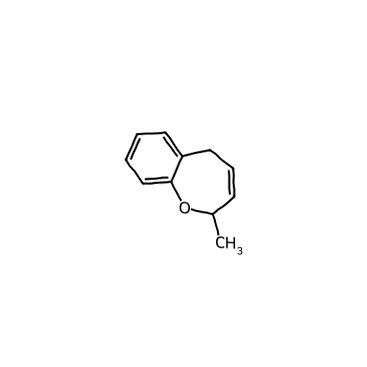 CC1C=CCc2ccccc2O1